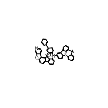 CCC1(C)c2c(cccc2N(c2ccc(-c3ccccc3)cc2)c2ccc3c(c2)c2cccc4c2n3-c2ccccc2C4(C)C)-c2ccc3oc4cnccc4c3c21